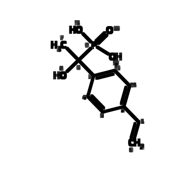 C=Cc1ccc(C(C)(O)P(=O)(O)O)cc1